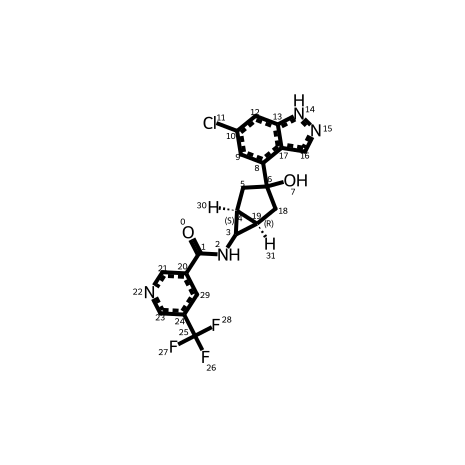 O=C(NC1[C@H]2CC(O)(c3cc(Cl)cc4[nH]ncc34)C[C@@H]12)c1cncc(C(F)(F)F)c1